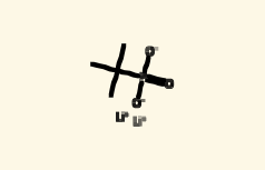 CC(C)(C)P(=O)([O-])[O-].[Li+].[Li+]